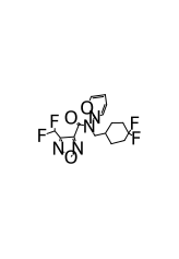 O=C(c1nonc1C(F)F)N(CC1CCC(F)(F)CC1)N1C=CC=CO1